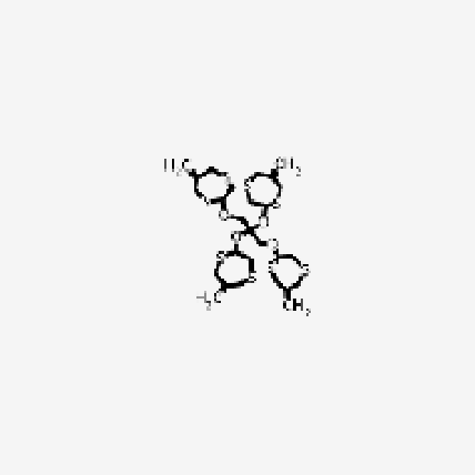 C=C1CSCC(OCC(COC2CSCC(=C)CS2)(OC2CSCC(=C)CS2)OC2CSCC(=C)CS2)SC1